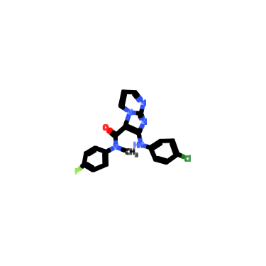 CN(C(=O)c1c(Nc2ccc(Cl)cc2)nc2ncccn12)c1ccc(F)cc1